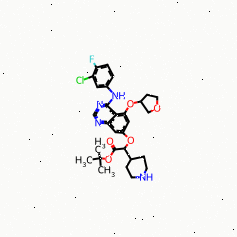 CC(C)(C)OC(=O)C(Oc1cc(OC2CCOC2)c2c(Nc3ccc(F)c(Cl)c3)ncnc2c1)C1CCNCC1